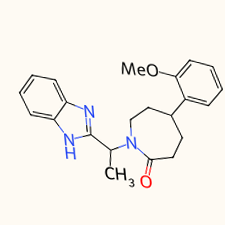 COc1ccccc1C1CCC(=O)N(C(C)c2nc3ccccc3[nH]2)CC1